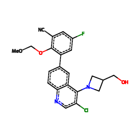 COCOc1c(C#N)cc(F)cc1-c1ccc2ncc(Cl)c(N3CC(CO)C3)c2c1